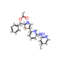 CC(=O)O[C@@H](c1ccccc1)c1ncc(-c2cccc(Nc3cc(C)ccn3)n2)s1